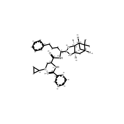 CC1(C)[C@@H]2C[C@H]3OB([C@H](CCCc4ccccc4)NC(=O)C(COC4CC4)NC(=O)c4cnccn4)O[C@@]3(C)[C@H]1C2